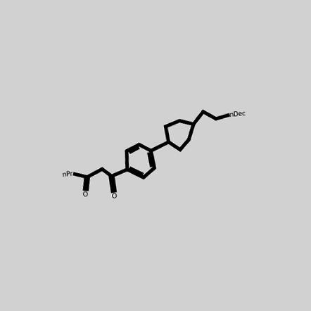 CCCCCCCCCCCCC1CCC(c2ccc(C(=O)CC(=O)CCC)cc2)CC1